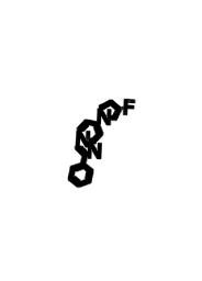 F[C@H]1CCN(c2ccn3cc(-c4ccccc4)nc3c2)C1